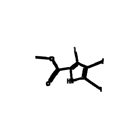 COC(=O)c1[nH]c(I)c(I)c1I